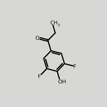 CCC(=O)c1cc(F)c(O)c(F)c1